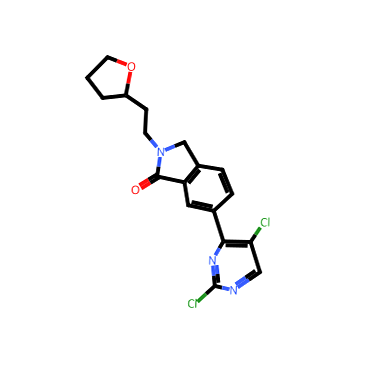 O=C1c2cc(-c3nc(Cl)ncc3Cl)ccc2CN1CCC1CCCO1